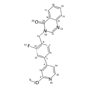 COc1cc(-c2ccc(Cn3cnc4ccccc4c3=O)c(F)c2)ccn1